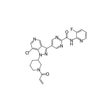 C=CC(=O)N1CCCC(n2nc(-c3cnc(C(=O)Nc4ncccc4F)nc3)c3cncc(Cl)c32)C1